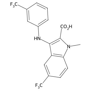 Cn1c(C(=O)O)c(Nc2cccc(C(F)(F)F)c2)c2cc(C(F)(F)F)ccc21